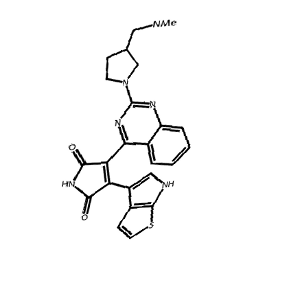 CNCC1CCN(c2nc(C3=C(c4c[nH]c5sccc45)C(=O)NC3=O)c3ccccc3n2)C1